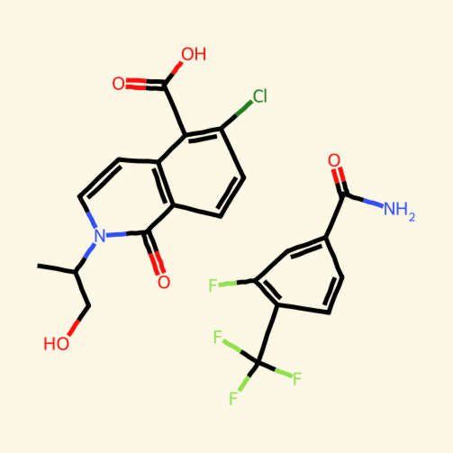 CC(CO)n1ccc2c(C(=O)O)c(Cl)ccc2c1=O.NC(=O)c1ccc(C(F)(F)F)c(F)c1